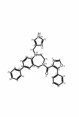 O=C(c1ncoc1-c1ccccc1)N1CCN(Cc2c[nH]cn2)c2ccc(-c3ccccc3)cc2C1